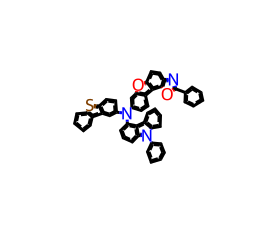 c1ccc(-c2nc3ccc4oc5cc(N(c6ccc7sc8ccccc8c7c6)c6cccc7c6c6ccccc6n7-c6ccccc6)ccc5c4c3o2)cc1